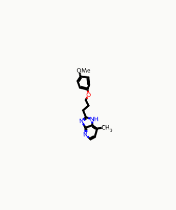 COc1ccc(OCCCc2nc3nccc(C)c3[nH]2)cc1